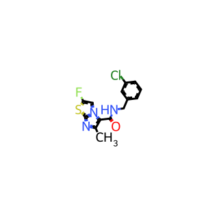 Cc1nc2sc(F)cn2c1C(=O)NCc1cccc(Cl)c1